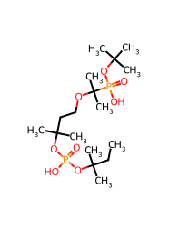 CCC(C)(C)OP(=O)(O)OC(C)(C)CCOC(C)(C)P(=O)(O)OC(C)(C)C